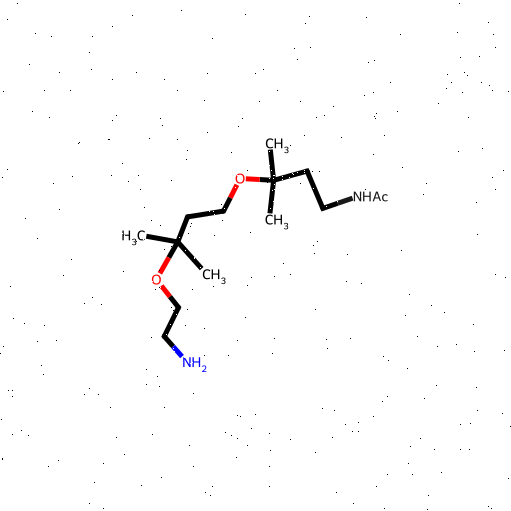 CC(=O)NCCC(C)(C)OCCC(C)(C)OCCN